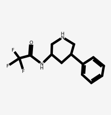 O=C(NC1CNCC(c2ccccc2)C1)C(F)(F)F